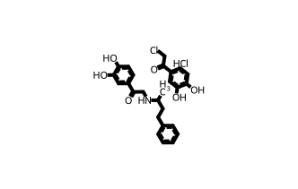 CC(CCc1ccccc1)NCC(=O)c1ccc(O)c(O)c1.Cl.O=C(CCl)c1ccc(O)c(O)c1